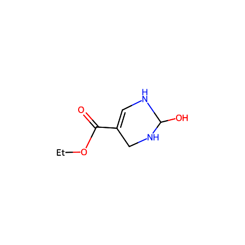 CCOC(=O)C1=CNC(O)NC1